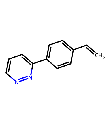 C=Cc1ccc(-c2cccnn2)cc1